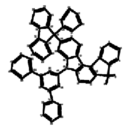 CC1(C)c2ccccc2-c2c1ccc1c2c2ccc(C3(c4ccccc4)c4ccccc4-c4ccccc43)cc2n1-c1nc(-c2ccccc2)cc(-c2ccccc2)n1